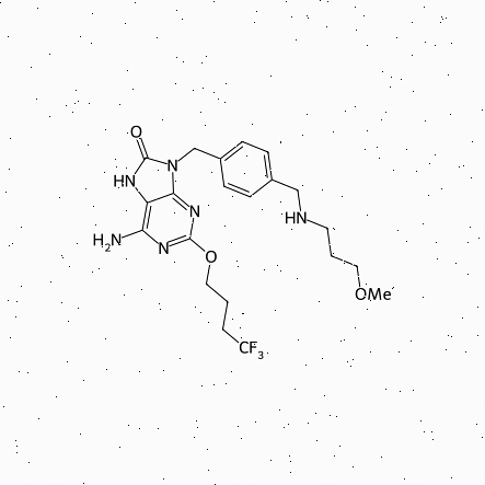 COCCCNCc1ccc(Cn2c(=O)[nH]c3c(N)nc(OCCCC(F)(F)F)nc32)cc1